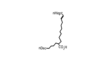 CCCCCCCC=CCCCCCCCC(CCCCCCCCCCCCCC)C(=O)O